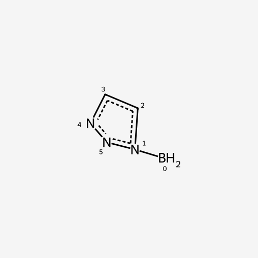 Bn1ccnn1